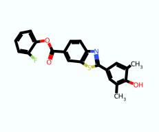 Cc1cc(-c2nc3ccc(C(=O)Oc4ccccc4F)cc3s2)cc(C)c1O